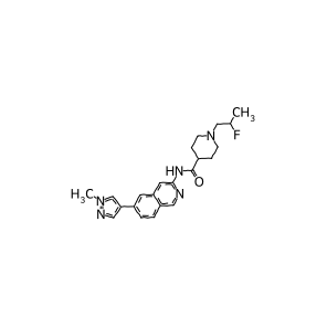 CC(F)CN1CCC(C(=O)Nc2cc3cc(-c4cnn(C)c4)ccc3cn2)CC1